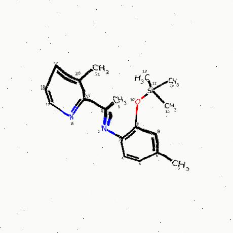 CC(=Nc1ccc(C)cc1O[Si](C)(C)C)c1ncccc1C